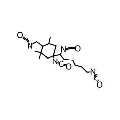 CC1CC(N=C=O)(C(CCCCCN=C=O)N=C=O)CC(C)(C)C1CN=C=O